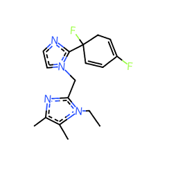 CCn1c(Cn2ccnc2C2(F)C=CC(F)=CC2)nc(C)c1C